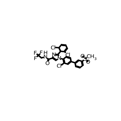 CS(=O)(=O)c1cccc(-c2ccc(-n3cc(C(=O)NCC(F)(F)F)nc3C3C(Cl)=CC=CC3Cl)c(Cl)c2)c1